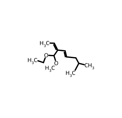 CC=C(C=CCC(C)C)C(OC)OCC